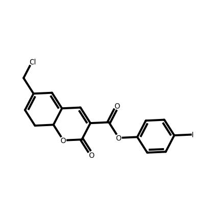 O=C(Oc1ccc(I)cc1)C1=CC2=CC(CCl)=CCC2OC1=O